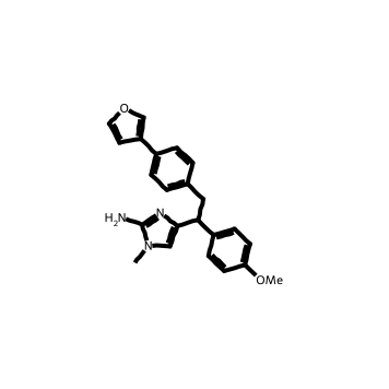 COc1ccc(C(Cc2ccc(-c3ccoc3)cc2)c2cn(C)c(N)n2)cc1